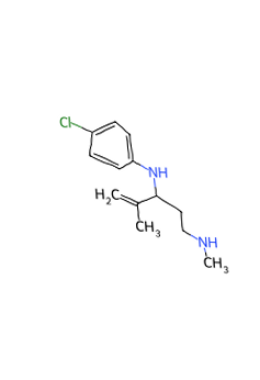 C=C(C)C(CCNC)Nc1ccc(Cl)cc1